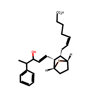 CC(c1ccccc1)C(O)/C=C/[C@@H]1[C@H](C/C=C\CCCC(=O)O)[C@@H]2CC[C@H]1S2